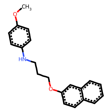 COc1ccc(NCCCOc2ccc3ccccc3c2)cc1